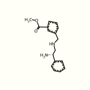 COC(=O)c1cccc(CNC[C@@H](N)c2ccccc2)c1